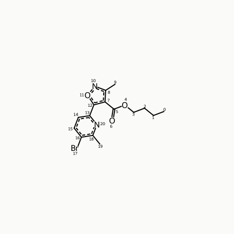 CCCCOC(=O)c1c(C)noc1-c1ccc(Br)c(C)n1